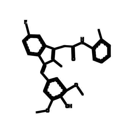 COc1cc(C=C2C(C)=C(CC(=O)Nc3ccccc3C)c3cc(F)ccc32)cc(OC)c1O